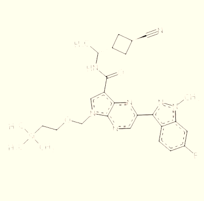 CC(NC(=O)c1cn(COCC[Si](C)(C)C)c2ncc(-c3nn(C)c4cc(F)ccc34)nc12)[C@H]1C[C@H](C#N)C1